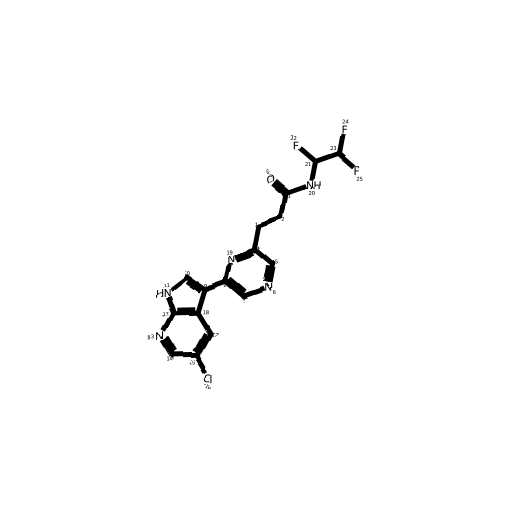 O=C(CCc1cncc(-c2c[nH]c3ncc(Cl)cc23)n1)NC(F)C(F)F